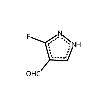 O=Cc1c[nH]nc1F